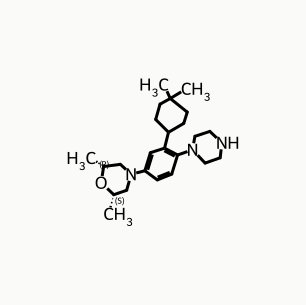 C[C@@H]1CN(c2ccc(N3CCNCC3)c(C3CCC(C)(C)CC3)c2)C[C@H](C)O1